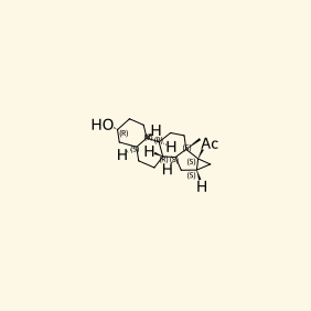 CC(=O)[C@@]12C[C@@H]1C[C@H]1[C@@H]3CC[C@H]4C[C@H](O)CC[C@@H]4[C@H]3CC[C@@]12C